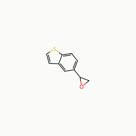 c1cc2cc(C3CO3)ccc2s1